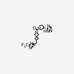 O=C(N1CC[C@H](c2ncn[nH]2)C1)N1CC2(CC(Cn3cnc(C(F)(F)F)n3)C2)C1